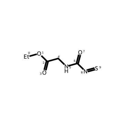 CCOC(=O)CNC(=O)N=S